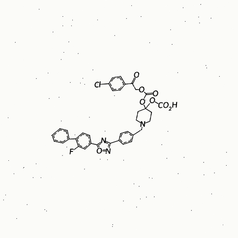 O=C(O)OC1(OC(=O)OCC(=O)c2ccc(Cl)cc2)CCN(Cc2ccc(-c3noc(-c4ccc(-c5ccccc5)c(F)c4)n3)cc2)CC1